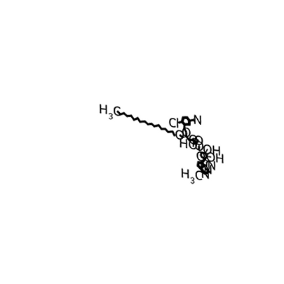 CCCCCCCCCCCCCCCCCCOC[C@H](COP(=O)(O)OC[C@H]1O[C@@](C#N)(c2ccc3c(C)ncnn23)[C@H](O)[C@@H]1O)OCc1cc(C#N)ccc1Cl